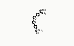 CC/N=C(\N)c1ccc(-c2ccc(-c3ccc(-c4ccc(/C(N)=N/OC)cc4)o3)o2)cc1